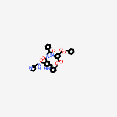 O=C(OCc1ccccc1)c1cc(NC(=O)C(CNC(=O)c2cc3cc[nH]c3cc2C(=O)NCC2CN3CCC2CC3)c2ccccc2)cc(C(=O)OCc2ccccc2)c1